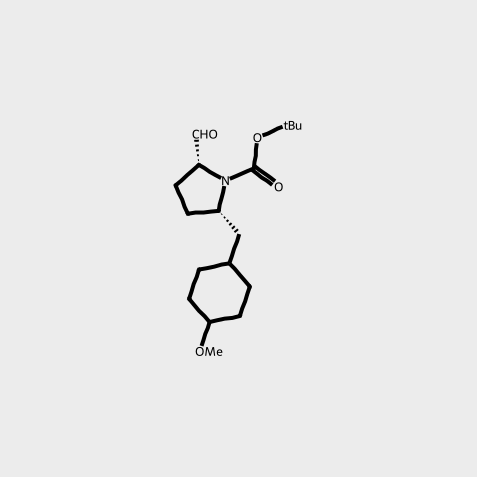 COC1CCC(C[C@@H]2CC[C@H](C=O)N2C(=O)OC(C)(C)C)CC1